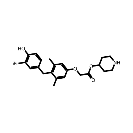 Cc1cc(OCC(=O)OC2CCNCC2)cc(C)c1Cc1ccc(O)c(C(C)C)c1